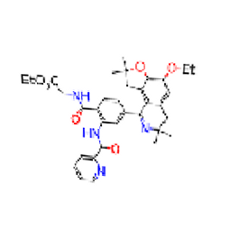 CCOC(=O)CNC(=O)c1ccc(C2=NC(C)(C)Cc3cc(OCC)c4c(c32)CC(C)(C)O4)cc1NC(=O)c1ccccn1